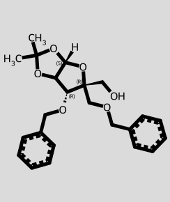 CC1(C)OC2[C@H](O1)O[C@](CO)(COCc1ccccc1)[C@@H]2OCc1ccccc1